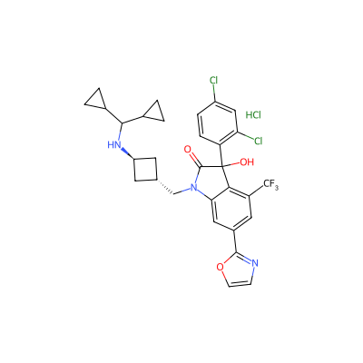 Cl.O=C1N(C[C@H]2C[C@H](NC(C3CC3)C3CC3)C2)c2cc(-c3ncco3)cc(C(F)(F)F)c2C1(O)c1ccc(Cl)cc1Cl